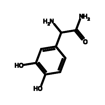 NC(=O)C(N)c1ccc(O)c(O)c1